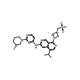 CC(C)c1cnc(N2C[C@H](CS(C)(=O)=O)[C@H]2C)c2cnc(Nc3ccnc(N4CCC[C@H](F)C4)n3)cc12